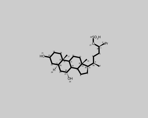 CC(C)[C@@H](CC[C@@H](C)[C@H]1CCC2C3C(CC[C@@]21C)[C@@]1(C)CCC(O)C[C@@H]1C[C@H]3O)OS(=O)(=O)O